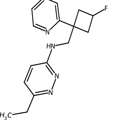 CCc1ccc(NCC2(c3ccccn3)CC(F)C2)nn1